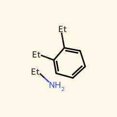 CCN.CCc1ccccc1CC